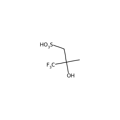 CC(O)(CS(=O)(=O)O)C(F)(F)F